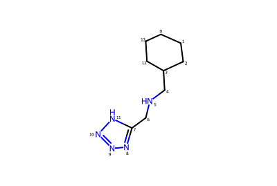 C1CCC(CNCc2nnn[nH]2)CC1